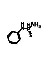 N[PH](=S)Nc1ccccc1